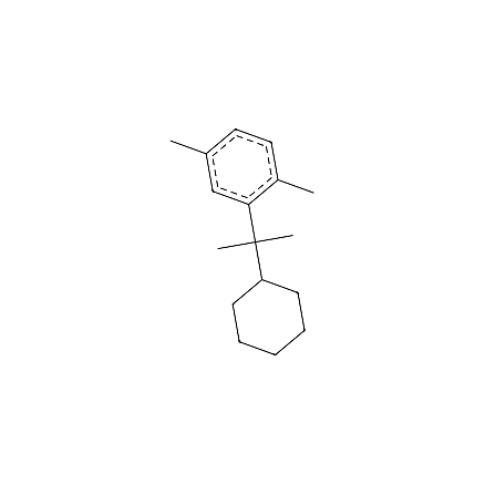 Cc1ccc(C)c(C(C)(C)C2CCCCC2)c1